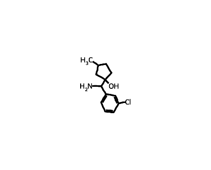 CC1CCC(O)(C(N)c2cccc(Cl)c2)C1